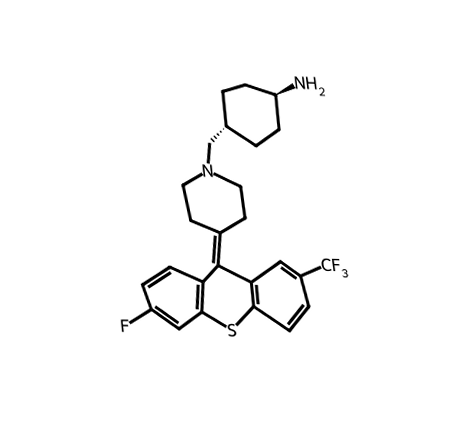 N[C@H]1CC[C@H](CN2CCC(=C3c4ccc(F)cc4Sc4ccc(C(F)(F)F)cc43)CC2)CC1